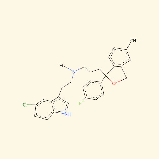 CCN(CCCC1(c2ccc(F)cc2)OCc2cc(C#N)ccc21)CCc1c[nH]c2ccc(Cl)cc12